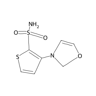 NS(=O)(=O)c1sccc1N1C=COC1